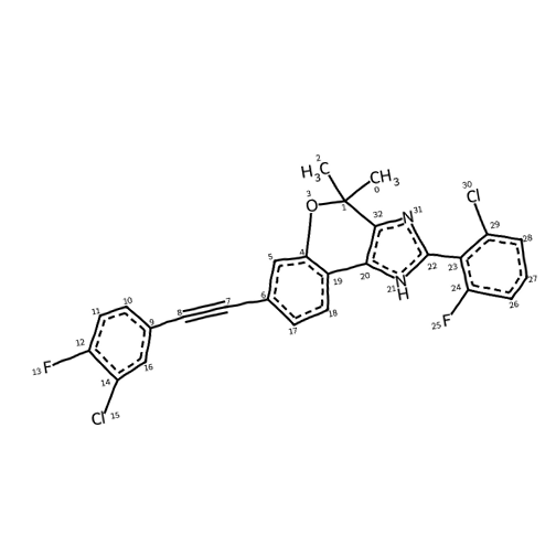 CC1(C)Oc2cc(C#Cc3ccc(F)c(Cl)c3)ccc2-c2[nH]c(-c3c(F)cccc3Cl)nc21